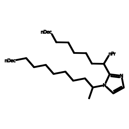 CCCCCCCCCCCCCCCCCC(C)n1ccnc1C(CCC)CCCCCCCCCCCCCCC